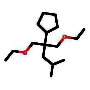 CCOCC(COCC)(CC(C)C)C1CCCC1